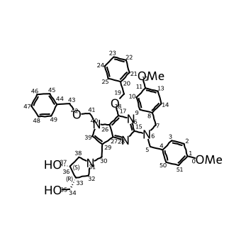 COc1ccc(CN(Cc2ccc(OC)cc2)c2nc(OCc3ccccc3)c3c(n2)c(CN2C[C@H](CO)[C@H](O)C2)cn3COCc2ccccc2)cc1